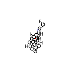 COC1=CC(=O)c2c(O)c3c(c(O)c2C1=O)C(=O)[C@]1(CCc2c1c(O)c1c(=O)[nH]c(/C=N/OCc4cccc(F)c4)cc1c2I)C3=O